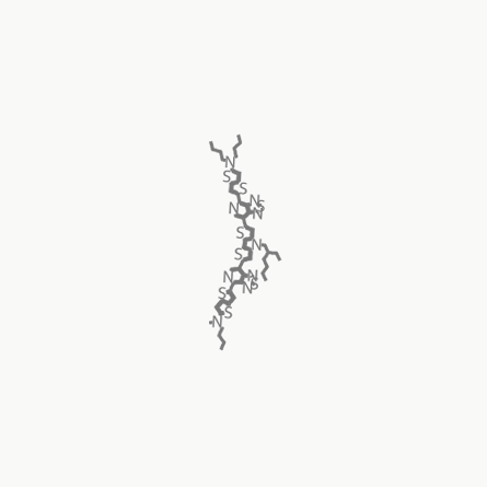 CCCCC(CC)Cn1c2cc(-c3cnc(-c4cc5sc(N(C)CCCC)cc5s4)c4nsnc34)sc2c2sc(-c3cnc(-c4cc5sc(N(CCCC)CCCC)cc5s4)c4nsnc34)cc21